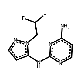 Nc1ccnc(Nc2ccnn2CC(F)F)n1